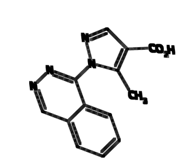 Cc1c(C(=O)O)cnn1-c1nncc2ccccc12